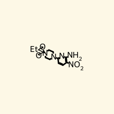 CCS(=O)(=O)N1CCN(c2ccc([N+](=O)[O-])c(N)n2)CC1